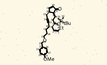 CC/C=C\C[C@@H](C/C=C1/C(=O)C=C[C@@H]1CC#CCCCCOCc1ccc(OC)cc1)O[Si](C)(C)C(C)(C)C